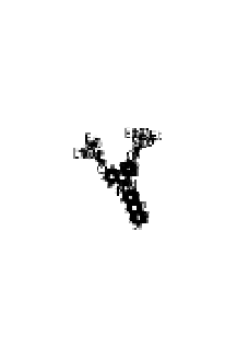 CCOP(=O)(CCCOc1ccc(-c2nc3cc4cc5ccccc5cc4cc3nc2-c2ccc(OCCCP(=O)(OCC)OCC)cc2)cc1)OCC